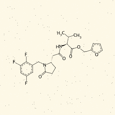 CC(C)[C@H](NC(=O)C[C@@H]1CCC(=O)N1Cc1cc(F)cc(F)c1F)C(=O)OCc1ccco1